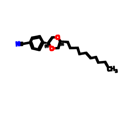 CCCCCCCCCC[C@H]1CO[C@H](c2ccc(C#N)cc2)CO1